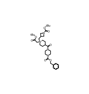 CC(C)(C)OC(=O)C[N+]1(CC2CN(C(=O)OC(C)(C)C)C2)CCC(C(=O)N2CCN(C(=O)OCc3ccccc3)CC2)CC1